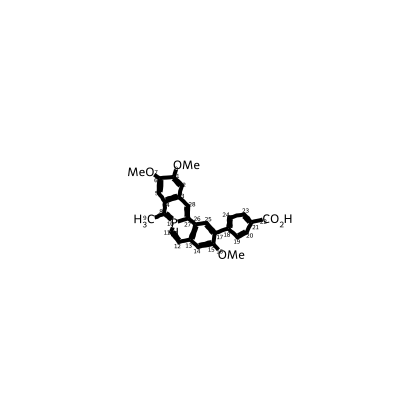 COc1cc2c(cc1OC)C(C)=[PH]1C=Cc3cc(OC)c(-c4ccc(C(=O)O)cc4)cc3C1=C2